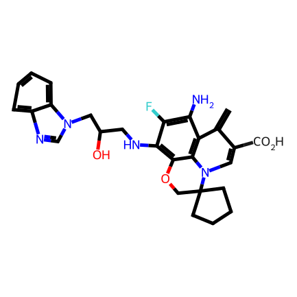 C=C1C(C(=O)O)=CN2c3c(c(NCC(O)Cn4cnc5ccccc54)c(F)c(N)c31)OCC21CCCC1